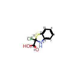 O=C(O)C1(Cl)Nc2ccccc2S1